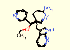 CCOC(c1cccnc1)C1(Cc2c[nH]c3ncccc23)C=NC(N)=CC1